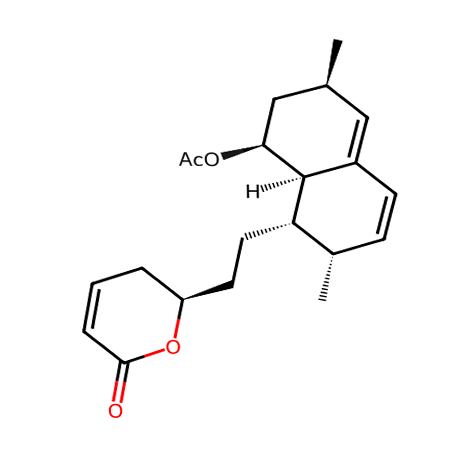 CC(=O)O[C@H]1C[C@@H](C)C=C2C=C[C@H](C)[C@H](CC[C@@H]3CC=CC(=O)O3)[C@H]21